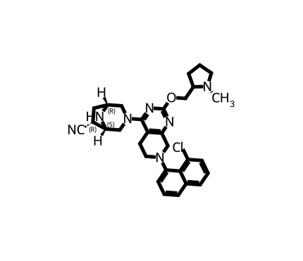 CN1CCCC1COc1nc2c(c(N3C[C@H]4C[C@@H](C#N)[C@@H](C3)N4)n1)CCN(c1cccc3cccc(Cl)c13)C2